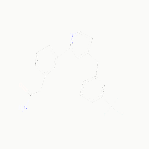 NC(=O)Cc1cccc(-c2cc(Cc3cccc(C(F)(F)F)c3)ccn2)c1